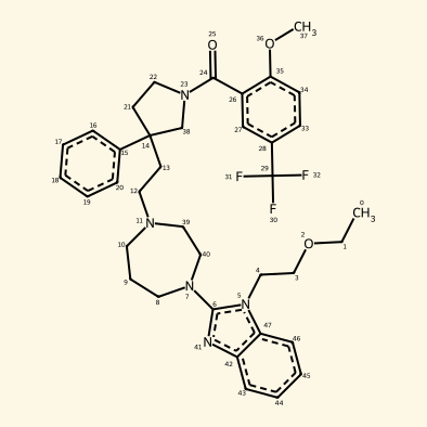 CCOCCn1c(N2CCCN(CCC3(c4ccccc4)CCN(C(=O)c4cc(C(F)(F)F)ccc4OC)C3)CC2)nc2ccccc21